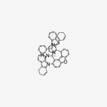 N/C(=N\C(=N/CC1=CCCC=C1)c1ccccc1)c1c(-n2c3c(c4ccccc42)CCC=C3)ccc2oc3cccc(-c4cccc5c4sc4ccccc45)c3c12